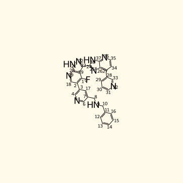 Fc1c(-c2cncc(CNCc3ccccc3)c2)cnc2[nH]nc(-c3nc4c(-c5cccnc5)ccnc4[nH]3)c12